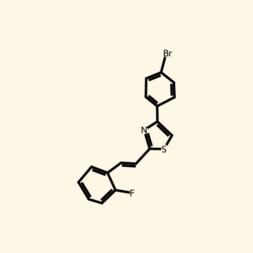 Fc1ccccc1C=Cc1nc(-c2ccc(Br)cc2)cs1